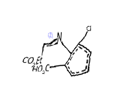 CCOC(=O)/C=N\c1c(Cl)cccc1C(=O)O